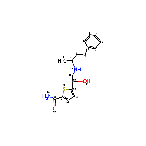 CC(CCc1ccccc1)NCC(O)c1ccc(C(N)=O)s1